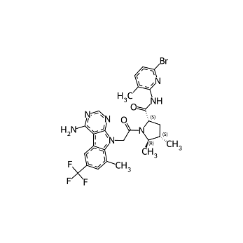 Cc1ccc(Br)nc1NC(=O)[C@@H]1C[C@H](C)[C@@H](C)N1C(=O)Cn1c2ncnc(N)c2c2cc(C(F)(F)F)cc(C)c21